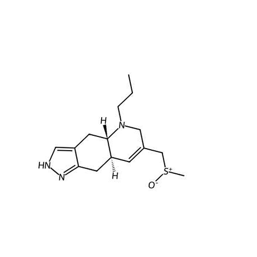 CCCN1CC(C[S+](C)[O-])=C[C@H]2Cc3n[nH]cc3C[C@@H]21